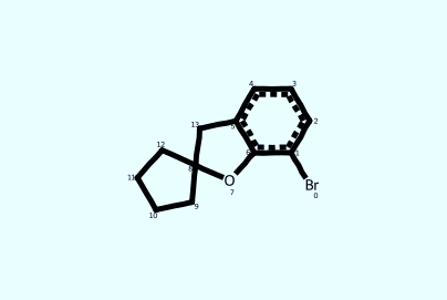 Brc1cccc2c1OC1(CCCC1)C2